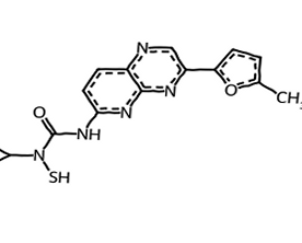 Cc1ccc(-c2cnc3ccc(NC(=O)N(S)C4CC4)nc3n2)o1